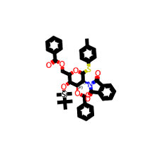 Cc1ccc(SC2OC(COC(=O)c3ccccc3)C(O[Si](C)(C)C(C)(C)C)[C@H](OC(=O)c3ccccc3)[C@@H]2N2C(=O)c3ccccc3C2=O)cc1